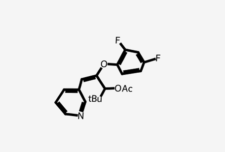 CC(=O)OC(/C(=C\c1cccnc1)Oc1ccc(F)cc1F)C(C)(C)C